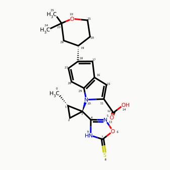 C[C@H]1C[C@]1(c1noc(=S)[nH]1)n1c(C(=O)O)cc2cc([C@H]3CCOC(C)(C)C3)ccc21